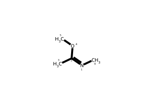 CN=C(C)OC